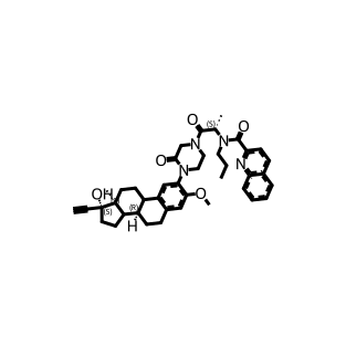 C#C[C@]1(O)CCC2[C@@H]3CCc4cc(OC)c(N5CCN(C(=O)[C@H](C)N(CCC)C(=O)c6ccc7ccccc7n6)CC5=O)cc4C3CC[C@@]21C